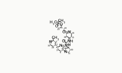 Cc1cc(-c2ccc3c(n2)N(C(=O)Nc2ccnc(OC[C@@H]4COC(C)(C)O4)c2)[C@H]2CCN3C2)ccn1